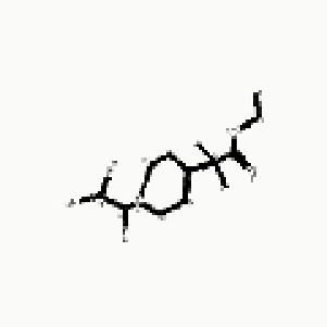 CCOC(=O)C(C)(C)C1CCN(C(F)C(F)F)CC1